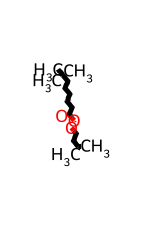 CC(C)CCOOC(=O)CCCCCC(C)(C)C